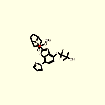 CC(C)(C)OC(=O)N1C2CCC1CN(c1nc3c(OC(F)(F)C(C)(C)O)ccc(-n4cccn4)c3o1)C2